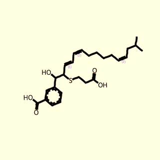 CC(C)C/C=C\CCCC/C=C\C=C\C(SCCC(=O)O)C(O)c1cccc(C(=O)O)c1